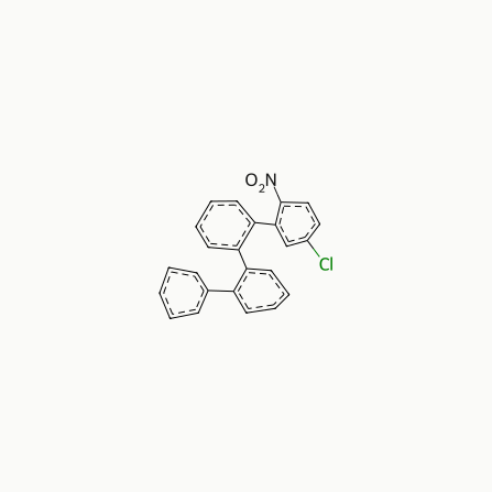 O=[N+]([O-])c1ccc(Cl)cc1-c1ccccc1-c1ccccc1-c1ccccc1